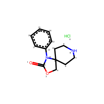 Cl.O=C1OCC2(CCNCC2)N1c1ccccc1